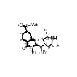 CCCC(c1nc2cc(C(=O)OC)ccc2c(=O)n1CC)N1C[C@@H](C)N[C@@H](C)C1